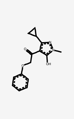 Cn1nc(C2CC2)c(C(=O)COc2ccccc2)c1O